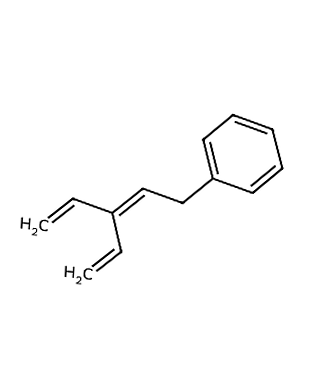 C=CC(C=C)=CCc1ccccc1